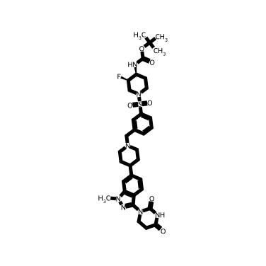 Cn1nc(N2CCC(=O)NC2=O)c2ccc(C3CCN(Cc4cccc(S(=O)(=O)N5CC[C@H](NC(=O)OC(C)(C)C)[C@H](F)C5)c4)CC3)cc21